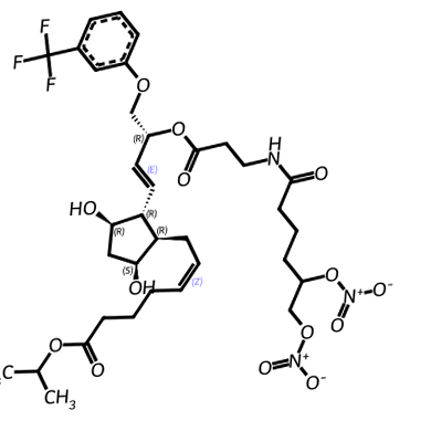 CC(C)OC(=O)CCC/C=C\C[C@@H]1[C@@H](/C=C/[C@H](COc2cccc(C(F)(F)F)c2)OC(=O)CCNC(=O)CCCC(CO[N+](=O)[O-])O[N+](=O)[O-])[C@H](O)C[C@@H]1O